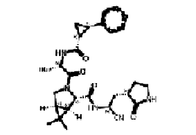 CC(C)(C)[C@H](NC(=O)[C@@H]1C[C@H]1c1ccccc1)C(=O)N1C[C@H]2[C@@H]([C@H]1C(=O)N[C@H](C#N)C[C@@H]1CCNC1=O)C2(C)C